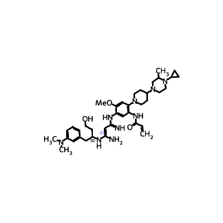 C=CC(=O)Nc1cc(NC(=N)/C=C(\N)N[C@H](CCO)Cc2cccc(N(C)C)c2)c(OC)cc1N1CCC(N2CCN(C3CC3)C(C)C2)CC1